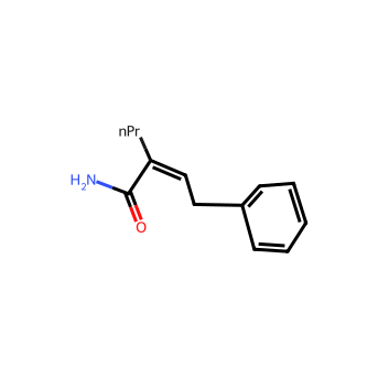 CCCC(=CCc1ccccc1)C(N)=O